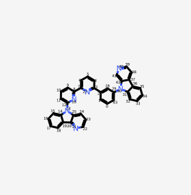 c1cc(-c2cccc(-c3cccc(-n4c5ccccc5c5ncccc54)n3)n2)cc(-n2c3ccccc3c3ccncc32)c1